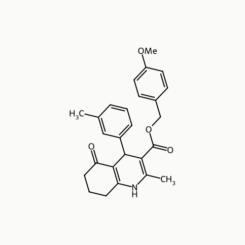 COc1ccc(COC(=O)C2=C(C)NC3=C(C(=O)CCC3)C2c2cccc(C)c2)cc1